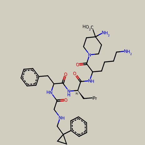 CC(C)C[C@@H](NC(=O)C(Cc1ccccc1)NC(=O)CNCC1(c2ccccc2)CC1)C(=O)NC(CCCCN)C(=O)N1CCC(N)(C(=O)O)CC1